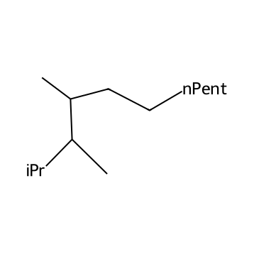 [CH2]CCCCCCC(C)C(C)C(C)C